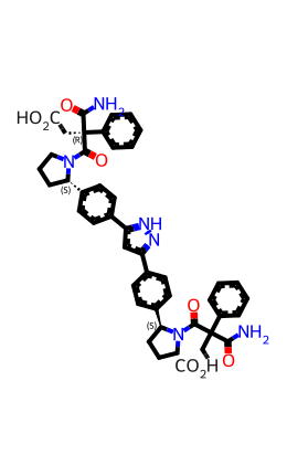 NC(=O)C(CC(=O)O)(C(=O)N1CCC[C@H]1c1ccc(-c2cc(-c3ccc([C@@H]4CCCN4C(=O)[C@@](CC(=O)O)(C(N)=O)c4ccccc4)cc3)[nH]n2)cc1)c1ccccc1